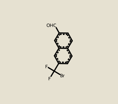 O=Cc1ccc2ccc(C(F)(F)Br)cc2c1